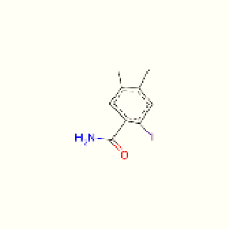 Cc1cc(I)c(C(N)=O)cc1C